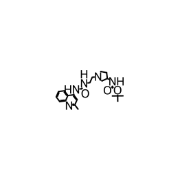 Cc1cc(NC(=O)NCCN2CCC(NC(=O)OC(C)(C)C)C2)c2ccccc2n1